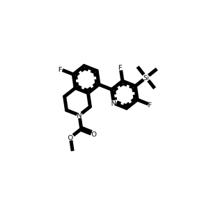 COC(=O)N1CCc2c(F)ccc(-c3ncc(F)c([Si](C)(C)C)c3F)c2C1